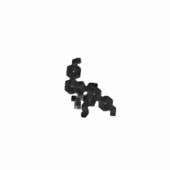 CCCC1=Cc2c(-c3ccc(CC)cc3)cccc2[CH]1[Zr]([CH]1C(CCC)=Cc2c(-c3ccc(CC)cc3)cccc21)[SiH](C)C